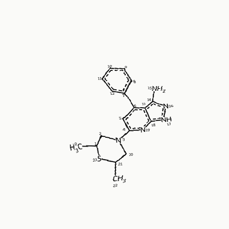 CC1CN(c2cc(-c3ccccc3)c3c(N)n[nH]c3n2)CC(C)S1